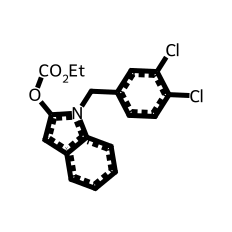 CCOC(=O)Oc1cc2ccccc2n1Cc1ccc(Cl)c(Cl)c1